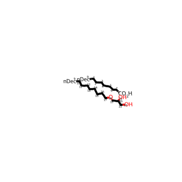 CCCCCCCCCCCCCCCCCC(=O)O.CCCCCCCCCCCCCCCCCCOCC(O)CO